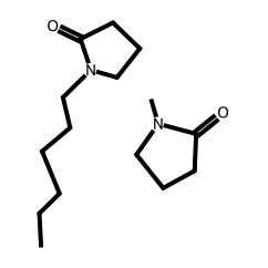 CCCCCCN1CCCC1=O.CN1CCCC1=O